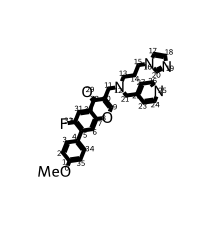 COc1ccc(-c2cc3occ(CN(CCCn4ccnc4)Cc4ccncc4)c(=O)c3cc2F)cc1